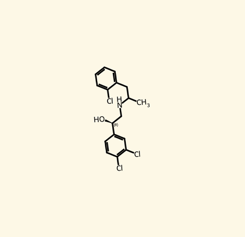 CC(Cc1ccccc1Cl)NC[C@H](O)c1ccc(Cl)c(Cl)c1